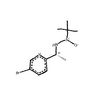 C[C@@H](N[S+]([O-])C(C)(C)C)c1ccc(Br)cn1